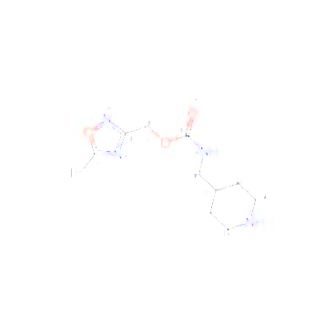 CC(C)c1nc(COC(=O)NCC2CCNCC2)no1